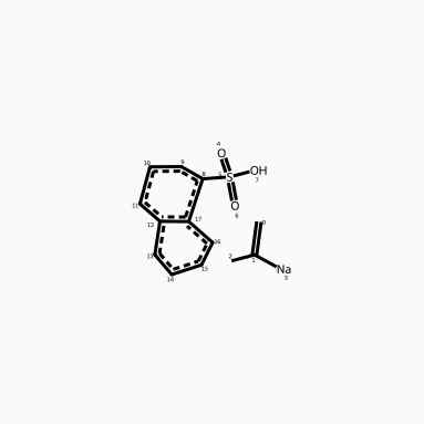 C=[C](C)[Na].O=S(=O)(O)c1cccc2ccccc12